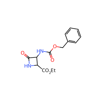 CCOC(=O)C1NC(=O)C1NC(=O)OCc1ccccc1